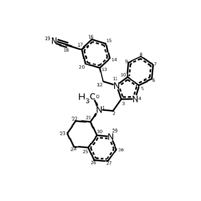 CN(Cc1nc2ccccc2n1Cc1cccc(C#N)c1)C1CCCc2cccnc21